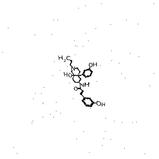 C=CCN1CCC2(c3cccc(O)c3)CC(NC(=O)/C=C/c3cccc(O)c3)CCC2(O)C1